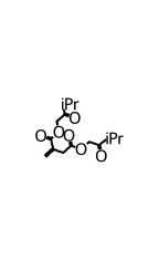 C=C(CC(=O)OCC(=O)C(C)C)C(=O)OCC(=O)C(C)C